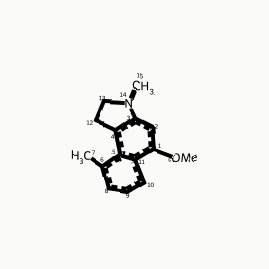 COc1cc2c(c3c(C)cccc13)CCN2C